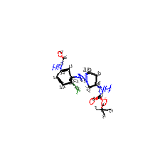 CC(C)(C)OC(=O)N[C@@H]1CCN(c2cc(NC=O)ccc2F)C1